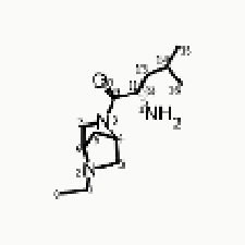 CCN1CC2CC1CN2C(=O)[C@@H](N)CC(C)C